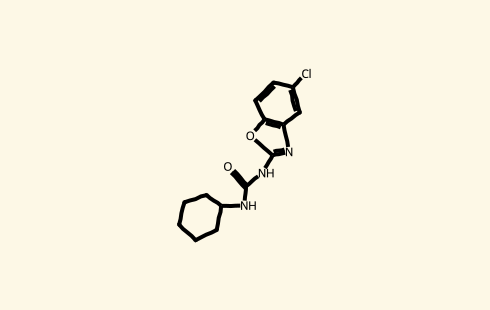 O=C(Nc1nc2cc(Cl)ccc2o1)NC1CCCCC1